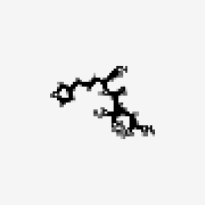 C#CC(C=CCC1=CCOC1)OC(=O)C1C(C=C(C)C)C1(C)C